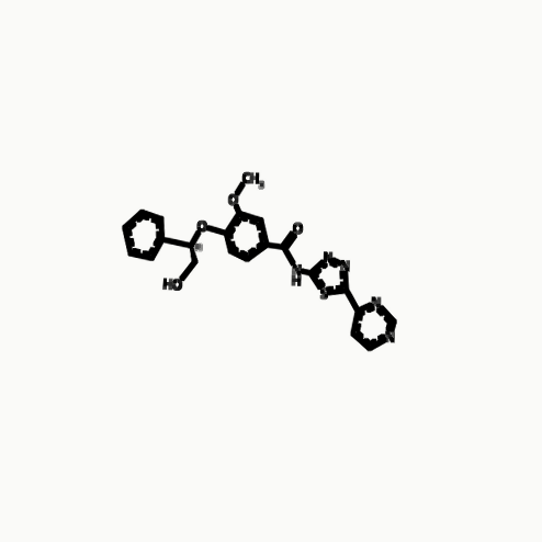 COc1cc(C(=O)Nc2nnc(-c3ccncn3)s2)ccc1O[C@@H](CO)c1ccccc1